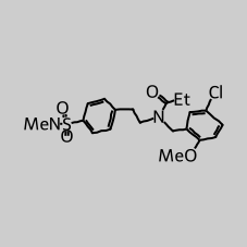 CCC(=O)N(CCc1ccc(S(=O)(=O)NC)cc1)Cc1cc(Cl)ccc1OC